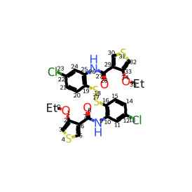 CCOc1cscc1C(=O)Nc1cc(Cl)ccc1SSc1ccc(Cl)cc1NC(=O)c1cscc1OCC